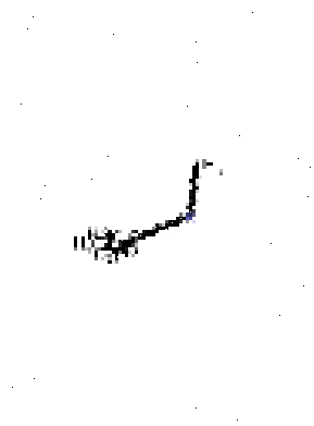 CCCCCCCC/C=C\CCCCCCCCOc1cc(C(=O)C(C(C)=O)C(=O)O)co1